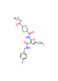 COC(=O)C1CCC(C(=O)Nc2sc(C)cc2C(=O)NCc2ccc(F)cc2)CC1